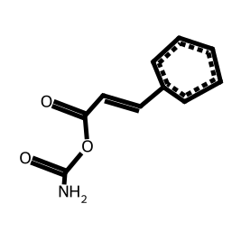 NC(=O)OC(=O)C=Cc1ccccc1